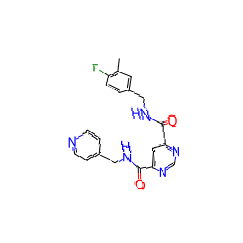 Cc1cc(CNC(=O)c2cc(C(=O)NCc3ccncc3)ncn2)ccc1F